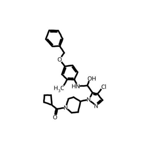 Cc1cc(OCc2ccccc2)ccc1NC(O)c1c(Cl)cnn1C1CCN(C(=O)C2CCC2)CC1